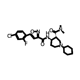 CN(C)C(=O)[C@@H]1CN(C2CCCCC2)CC[C@H]1NC(=O)c1cc(-c2ccc(Cl)cc2F)on1